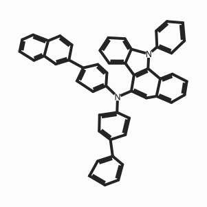 c1ccc(-c2ccc(N(c3ccc(-c4ccc5ccccc5c4)cc3)c3cc4ccccc4c4c3c3ccccc3n4-c3ccccc3)cc2)cc1